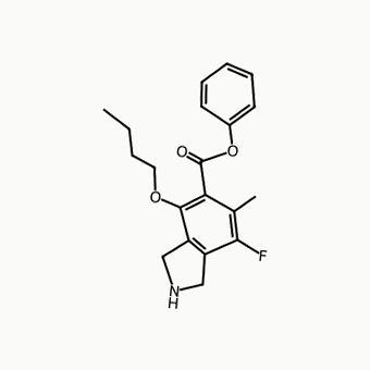 CCCCOc1c2c(c(F)c(C)c1C(=O)Oc1ccccc1)CNC2